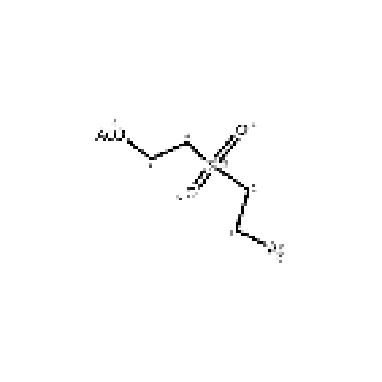 CC(=O)CCS(=O)(=O)CCOC(C)=O